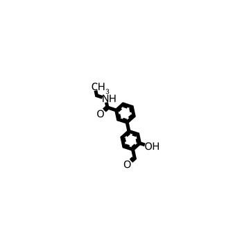 CCNC(=O)c1cccc(-c2ccc(C=O)c(O)c2)c1